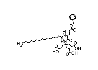 CCCCCCCCCCCCCCC(=O)NC(CCC(=O)OCc1ccccc1)C(=O)NC(CCC(=O)O)(CCC(=O)O)CCC(=O)O